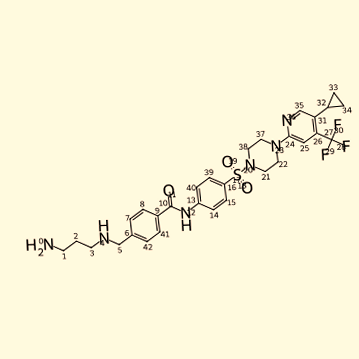 NCCCNCc1ccc(C(=O)Nc2ccc(S(=O)(=O)N3CCN(c4cc(C(F)(F)F)c(C5CC5)cn4)CC3)cc2)cc1